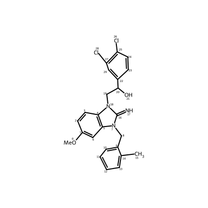 COc1ccc2c(c1)n(Cc1ccccc1C)c(=N)n2CC(O)c1ccc(Cl)c(Cl)c1